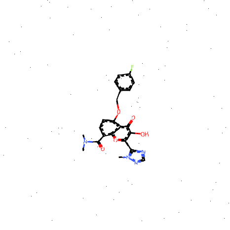 CN(C)C(=O)c1ccc(OCc2ccc(F)cc2)c2c(=O)c(O)c(-c3ncnn3C)oc12